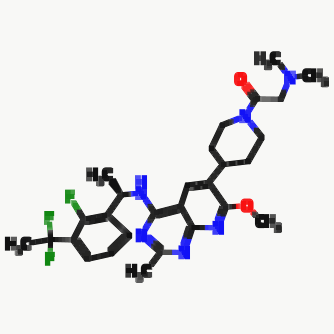 COc1nc2nc(C)nc(N[C@H](C)c3cccc(C(C)(F)F)c3F)c2cc1C1CCN(C(=O)CN(C)C)CC1